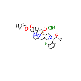 CCOC(=O)CCn1ccc(C=C2CN(C(C(=O)C3CC3)c3ccccc3F)CCC2SC(C)=O)n1.Cl